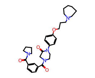 O=C(c1cccc(C(=O)N2CCN(c3ccc(OCCCN4CCCCCC4)cc3)C(=O)C2)c1)N1CCCC1